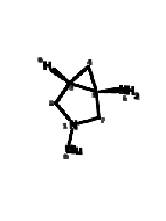 CC(C)(C)N1C[C@@H]2C[C@]2(N)C1